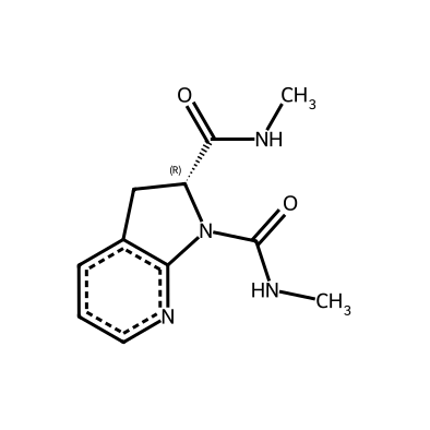 CNC(=O)[C@H]1Cc2cccnc2N1C(=O)NC